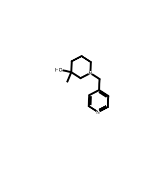 CC1(O)CCCN(Cc2ccncc2)C1